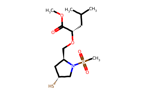 COC(=O)[C@H](CC(C)C)OC[C@@H]1C[C@@H](S)CN1S(C)(=O)=O